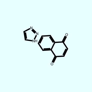 O=C1C=CC(=O)c2ccccc21.c1c[nH]nn1